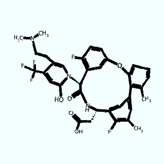 Cc1cc2cc(c1F)[C@H](CC(=O)O)NC(=O)[C@@H](N1C=C(CCN(C)C)C(C(F)(F)F)=CC1O)c1cc(ccc1F)Oc1cccc(C)c1-2